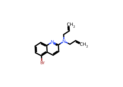 C=CCN(CC=C)c1ccc2c(Br)cccc2n1